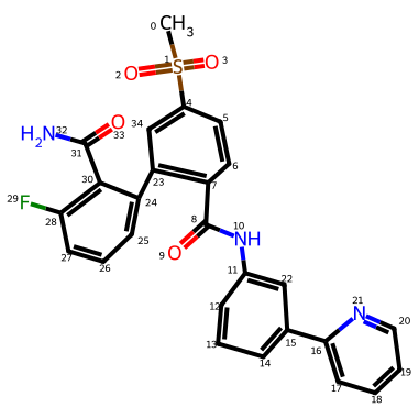 CS(=O)(=O)c1ccc(C(=O)Nc2cccc(-c3ccccn3)c2)c(-c2cccc(F)c2C(N)=O)c1